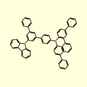 c1ccc(-c2ccc(N(c3ccc(-c4cc(-c5ccccc5)cc(-n5c6ccccc6c6ccccc65)c4)cc3)c3ccc(-c4ccccc4)cc3-c3ccccc3)cc2)cc1